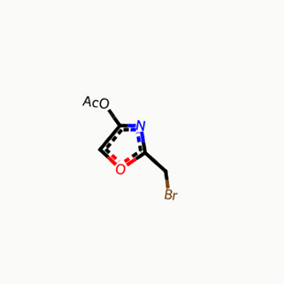 CC(=O)Oc1coc(CBr)n1